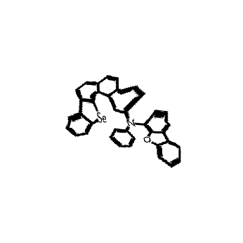 c1ccc(N(c2ccc3ccc4ccc5c6ccccc6[se]c5c4c3c2)c2cccc3c2oc2ccccc23)cc1